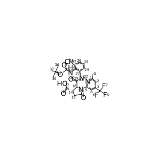 Cc1cc(C(F)(F)F)cc(N2C(=O)C[C@H](C(=O)O)[C@H]2C(=O)N(C)c2cccc(Cl)c2NC(=O)OC(C)(C)C)n1